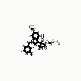 [C-]#[N+]c1ccc2c(C(O)(C(=O)OCC)C(F)(F)F)cn(Cc3cccc(F)c3)c2c1